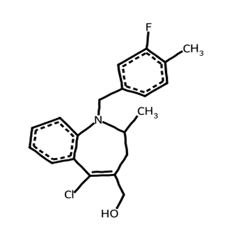 Cc1ccc(CN2c3ccccc3C(Cl)=C(CO)CC2C)cc1F